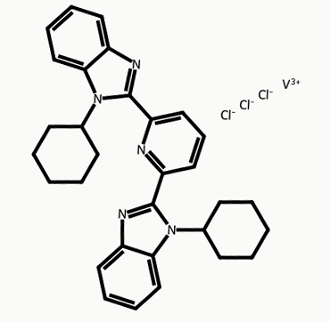 [Cl-].[Cl-].[Cl-].[V+3].c1cc(-c2nc3ccccc3n2C2CCCCC2)nc(-c2nc3ccccc3n2C2CCCCC2)c1